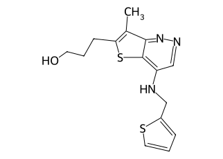 Cc1c(CCCO)sc2c(NCc3cccs3)cnnc12